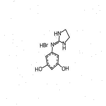 Br.Oc1cc(O)cc(N=C2NCCN2)c1